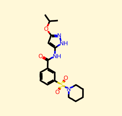 CC(C)Oc1cc(NC(=O)c2cccc(S(=O)(=O)N3CCCCC3)c2)[nH]n1